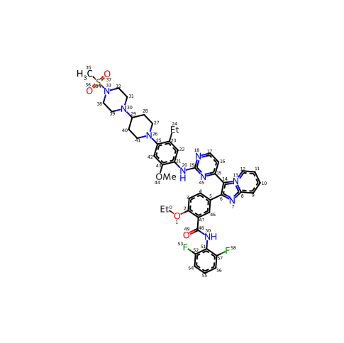 CCOc1ccc(-c2nc3ccccn3c2-c2ccnc(Nc3cc(CC)c(N4CCC(N5CCN(S(C)(=O)=O)CC5)CC4)cc3OC)n2)cc1C(=O)Nc1c(F)cccc1F